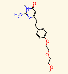 COCCOCCOc1ccc(CCc2cc(=O)n(C)c(N)n2)cc1